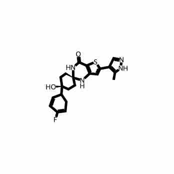 Cc1[nH]ncc1-c1cc2c(s1)C(=O)N[C@]1(CC[C@@](O)(C3C=CC(F)=CC3)CC1)N2